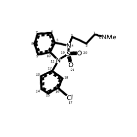 CNCCCN1c2ccccc2N(c2cccc(Cl)c2)S1(=O)=O